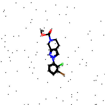 CC(C)(C)OC(=O)N1CCc2cn(-c3cccc(Br)c3Cl)nc2C1